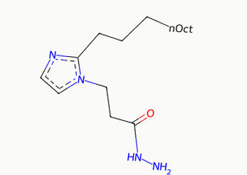 CCCCCCCCCCCc1nccn1CCC(=O)NN